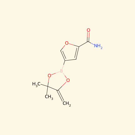 C=C1OB(c2coc(C(N)=O)c2)OC1(C)C